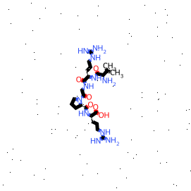 CC(C)[C@H](N)C(=O)N[C@@H](CCCNC(=N)N)C(=O)NCC(=O)N1CCC[C@H]1C(=O)N[C@@H](CCCNC(=N)N)C(=O)O